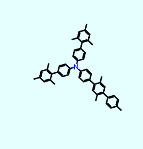 Cc1ccc(-c2cc(C)c(-c3ccc(N(c4ccc(-c5c(C)cc(C)cc5C)cc4)c4ccc(-c5c(C)cc(C)cc5C)cc4)cc3)cc2C)cc1